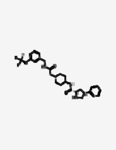 O=C(CC1CCC(NC(=O)[C@@H]2C[C@@H](c3ccccc3)CN2)CC1)NCc1cccc(OC(F)(F)F)c1